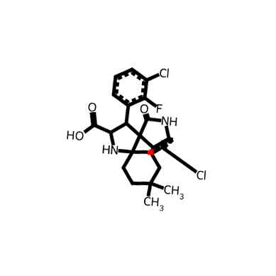 CC1(C)CCC2(CC1)NC(C(=O)O)C(c1cccc(Cl)c1F)C21C(=O)Nc2cc(Cl)ncc21